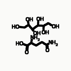 NC(=O)CCC(N)C(=O)O.OCC(O)C(O)C(O)C(O)CO